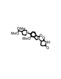 COc1c(N2CCC(C(OC)OC)CC2)ccc2c1CN(C1CCC(=O)NC1=O)C2=O